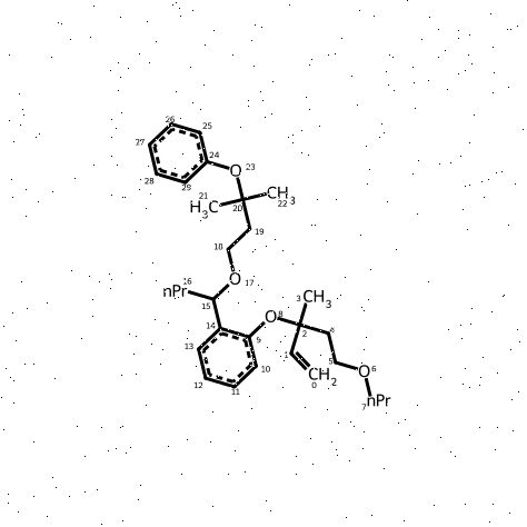 C=CC(C)(CCOCCC)Oc1ccccc1C(CCC)OCCC(C)(C)Oc1ccccc1